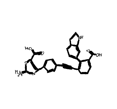 Nc1nc(-c2ccc(C#Cc3cccc(C(=O)O)c3-c3ccc4cc[nH]c4c3)cc2)c(C(=O)O)s1